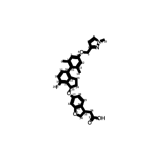 Cc1cc(OCc2ccn(C)n2)cc(C)c1-c1ccc(F)c2c1CC[C@H]2Oc1ccc2c(c1)OCC2CC(=O)O